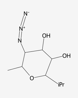 CC(C)C1OC(C)C(N=[N+]=[N-])C(O)C1O